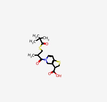 CC(CSC(=O)C(C)(C)C)C(=O)N1C=CC2=C(C1)C(C(=O)O)CS2